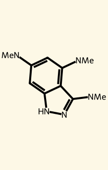 CNc1cc(NC)c2c(NC)n[nH]c2c1